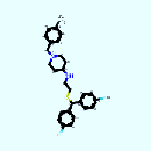 Fc1ccc(C(SCCNC2CCN(Cc3ccc(C(F)(F)F)cc3)CC2)c2ccc(F)cc2)cc1